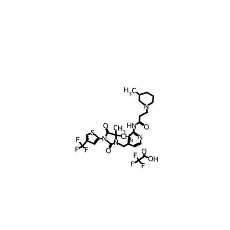 CC1CCCN(CCC(=O)Nc2cc(CN3C(=O)N(c4cc(C(F)(F)F)cs4)C(=O)C3(C)C)ccn2)C1.O=C(O)C(F)(F)F